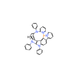 Cc1c2c3c4c5ccc6c7cccc[n+]7p(c64)[n+]4ccccc4n(-c4ccccc4)c1ccc2n(-c1ccccc1)c3n5-c1ccccc1